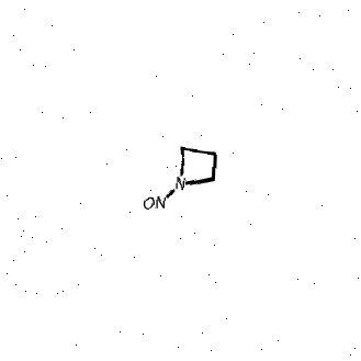 O=NN1CCC1